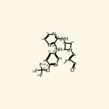 O=CC(F)=CN1CC(Nc2nccnc2Nc2ccc(OC(F)(F)F)nc2)C1